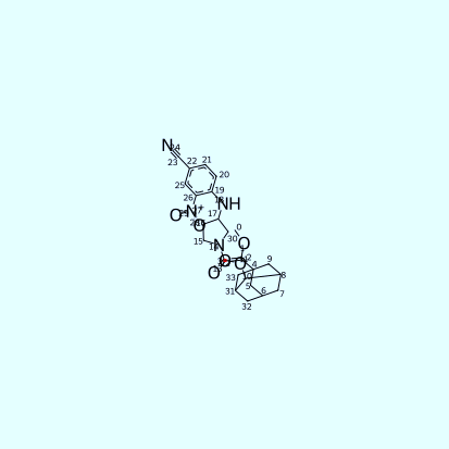 COC(=O)C12CC3CC(C1)C(OC(=O)N1CCC(Nc4ccc(C#N)cc4[N+](=O)[O-])C1)C(C3)C2